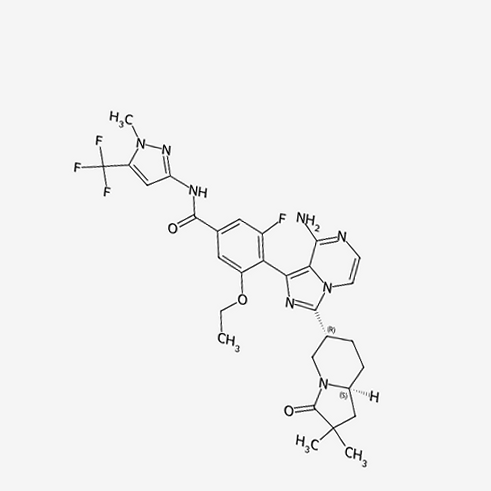 CCOc1cc(C(=O)Nc2cc(C(F)(F)F)n(C)n2)cc(F)c1-c1nc([C@@H]2CC[C@H]3CC(C)(C)C(=O)N3C2)n2ccnc(N)c12